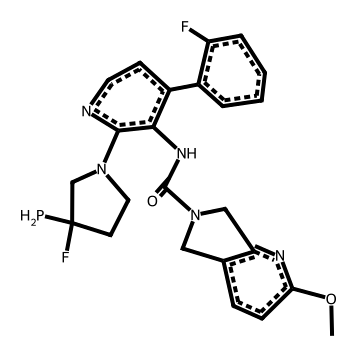 COc1ccc2c(n1)CN(C(=O)Nc1c(-c3ccccc3F)ccnc1N1CCC(F)(P)C1)C2